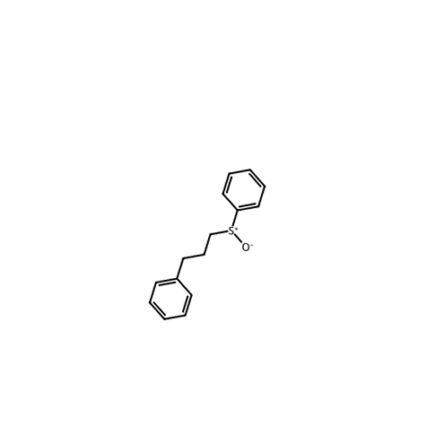 [O-][S+](CCCc1ccccc1)c1ccccc1